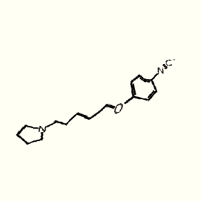 [C-]#[N+]c1ccc(OCCCCCN2CCCC2)cc1